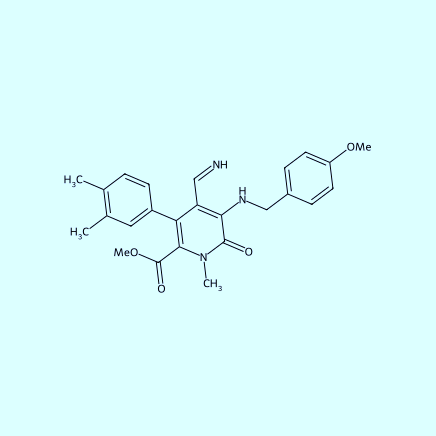 COC(=O)c1c(-c2ccc(C)c(C)c2)c(C=N)c(NCc2ccc(OC)cc2)c(=O)n1C